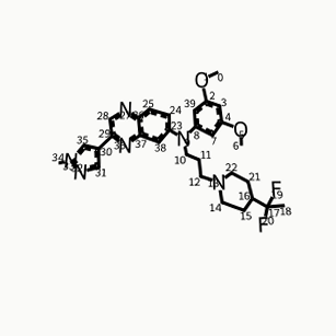 COc1cc(OC)cc(N(CCCN2CCC(C(C)(F)F)CC2)c2ccc3ncc(-c4cnn(C)c4)nc3c2)c1